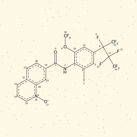 O=C(Nc1c(I)cc(C(F)(C(F)(F)F)C(F)(F)C(F)(F)F)cc1OC(F)(F)F)c1ccc2ccc[n+]([O-])c2c1